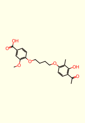 COc1cc(C(=O)O)ccc1OCCCCOc1ccc(C(C)=O)c(O)c1C